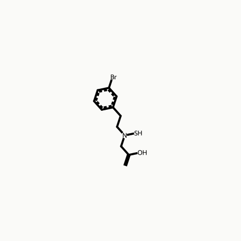 C=C(O)CN(S)CCc1cccc(Br)c1